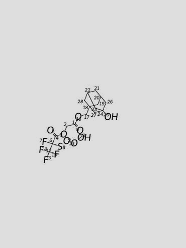 O=C(COC(=O)C(F)(SOOO)C(F)(F)F)OCC12CC3CC(CC(O)(C3)C1)C2